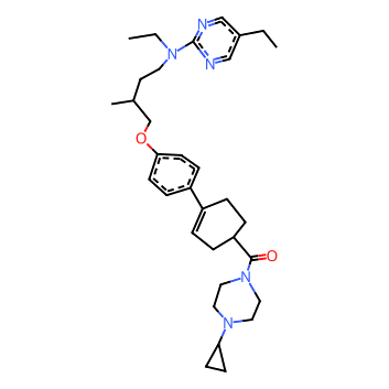 CCc1cnc(N(CC)CCC(C)COc2ccc(C3=CCC(C(=O)N4CCN(C5CC5)CC4)CC3)cc2)nc1